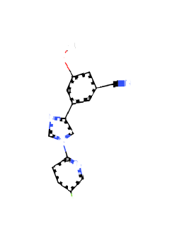 COc1cc(C#N)cc(-c2cn(-c3ccc(F)cn3)cn2)c1